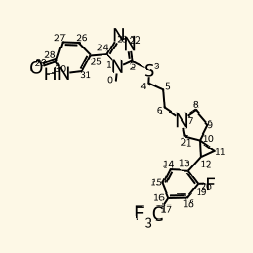 Cn1c(SCCCN2CCC3(CC3c3ccc(C(F)(F)F)cc3F)C2)nnc1-c1ccc(=O)[nH]c1